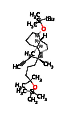 C#CC[C@@](C)(CCCC(C)(C)O[Si](C)(C)C)[C@H]1CC[C@H]2[C@@H](O[Si](C)(C)C(C)(C)C)CCC[C@]12C